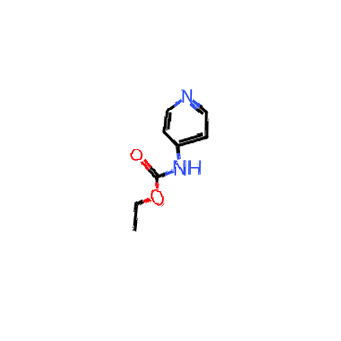 CCOC(=O)Nc1ccncc1